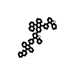 c1cc(-c2c3ccccc3c(-c3cccc4ccccc34)c3cc(-c4ccc(-c5ccc(-c6c7ccccc7c(-c7ccc8ccccc8c7)c7ccccc67)cc5)c5c4oc4ccccc45)ccc23)cc(-c2cccc3oc4ccccc4c23)c1